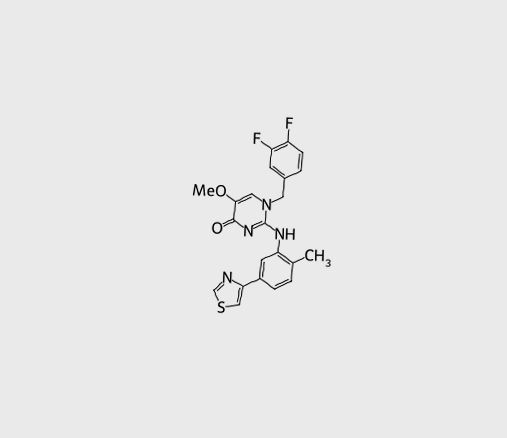 COc1cn(Cc2ccc(F)c(F)c2)c(Nc2cc(-c3cscn3)ccc2C)nc1=O